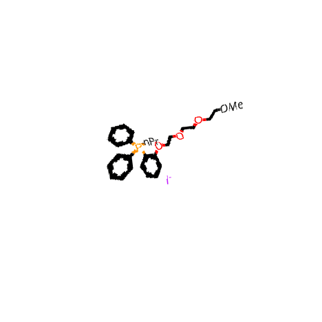 CCC[P+](c1ccccc1)(c1ccccc1)c1ccccc1OCCOCCOCCOC.[I-]